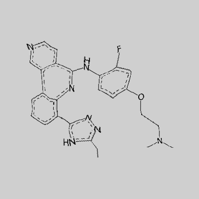 Cc1nnc(-c2cccc3c2nc(Nc2ccc(OCCN(C)C)cc2F)c2ccncc23)[nH]1